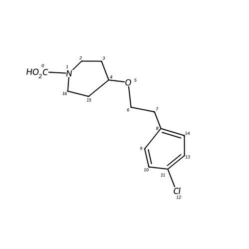 O=C(O)N1CCC(OCCc2ccc(Cl)cc2)CC1